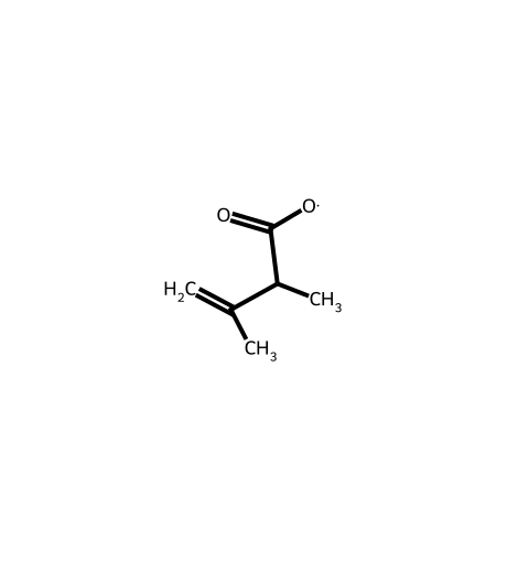 C=C(C)C(C)C([O])=O